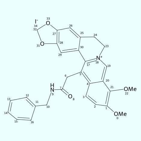 COc1ccc2c(CC(=O)NCc3ccccc3)c3[n+](cc2c1OC)CCc1cc2c(cc1-3)OCO2.[I-]